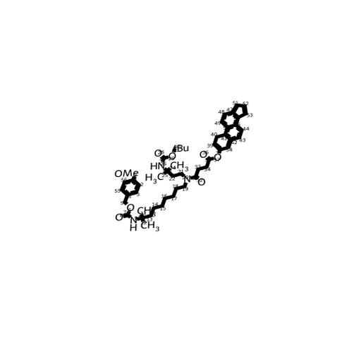 COc1ccc(COC(=O)NC(C)(C)CCCCCCCN(CCC(C)(C)NC(=O)OC(C)(C)C)C(=O)CCC(=O)OC2=CCc3c(ccc4c5c(ccc34)=CC=C5)=C2)cc1